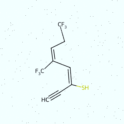 C#C/C(S)=C\C(=C/CC(F)(F)F)C(F)(F)F